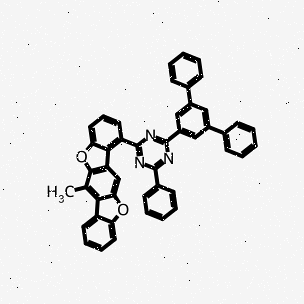 Cc1c2oc3cccc(-c4nc(-c5ccccc5)nc(-c5cc(-c6ccccc6)cc(-c6ccccc6)c5)n4)c3c2cc2oc3ccccc3c12